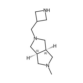 CN1C[C@@H]2CN(CC3CNC3)C[C@@H]2C1